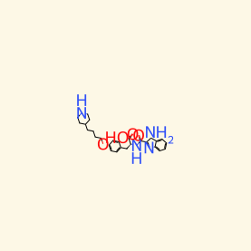 NC1C(C(=O)N[C@@H](Cc2ccc(OCCCCC3CCNCC3)cc2)C(=O)O)=Nc2ccccc21